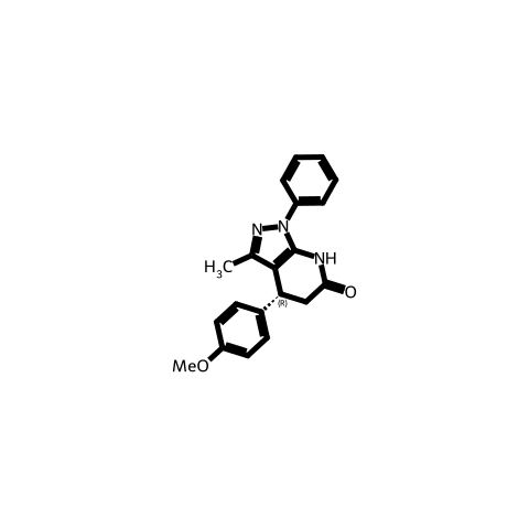 COc1ccc([C@H]2CC(=O)Nc3c2c(C)nn3-c2ccccc2)cc1